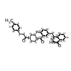 Cc1ccc(CCC(=O)N2CCN(C(=O)c3cc(Cc4n[nH]c(=O)c5ccccc45)ccc3F)CC2)cc1